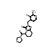 O=C(C1CCCc2nn(Cc3ccnc(C(F)(F)F)c3F)c(=O)n21)N1CCSC1